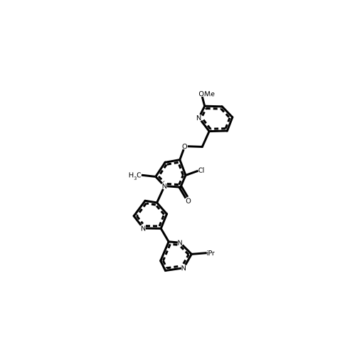 COc1cccc(COc2cc(C)n(-c3ccnc(-c4ccnc(C(C)C)n4)c3)c(=O)c2Cl)n1